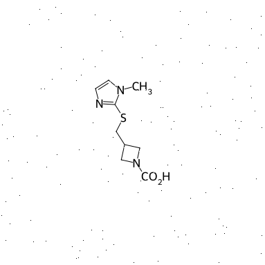 Cn1ccnc1SCC1CN(C(=O)O)C1